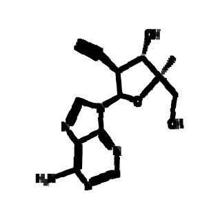 C#C[C@@H]1[C@H](n2cnc3c(N)ncnc32)O[C@](C)(CO)[C@H]1O